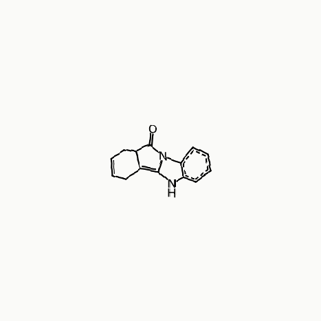 O=C1C2CC=CCC2=C2Nc3ccccc3N12